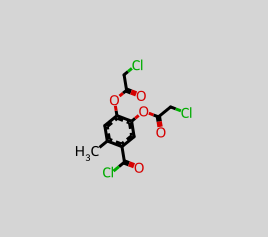 Cc1cc(OC(=O)CCl)c(OC(=O)CCl)cc1C(=O)Cl